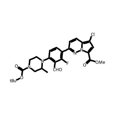 COC(=O)c1cc(Cl)c2ccc(-c3ccc(N4CCN(C(=O)OC(C)(C)C)CC4C)c(C=O)c3F)nn12